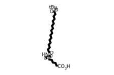 CC(C)(C)OC(=O)CCCCCCCCCCCCCCCCC(=O)NS(=O)(=O)CCCCCC(=O)O